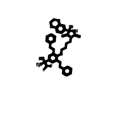 CCC1(c2ccc3c(c2)OCCO3)NC(=O)N(CCCCOc2c(CCc3ccccc3)cc(C(O)(C(F)F)C(F)(F)F)cc2CCc2ccccc2)C1=O